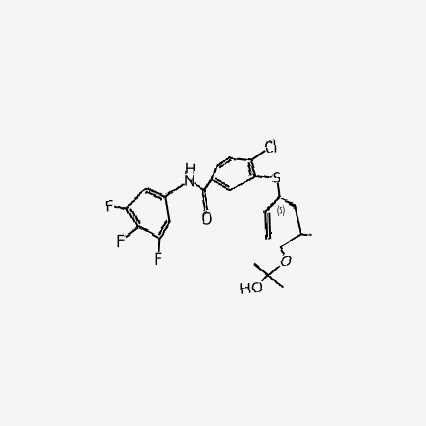 C=C[C@H](CC(C)COC(C)(C)O)Sc1cc(C(=O)Nc2cc(F)c(F)c(F)c2)ccc1Cl